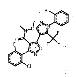 CON(C)C(=O)c1c(-c2c(F)cccc2Cl)noc1-c1cnn(-c2ccccc2Br)c1C(F)(F)F